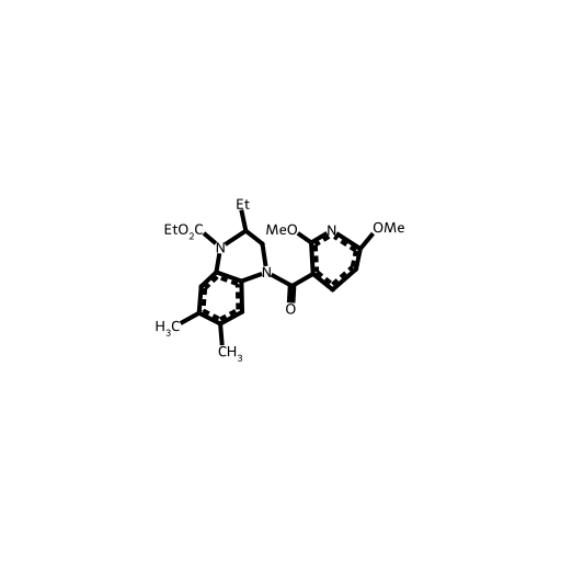 CCOC(=O)N1c2cc(C)c(C)cc2N(C(=O)c2ccc(OC)nc2OC)CC1CC